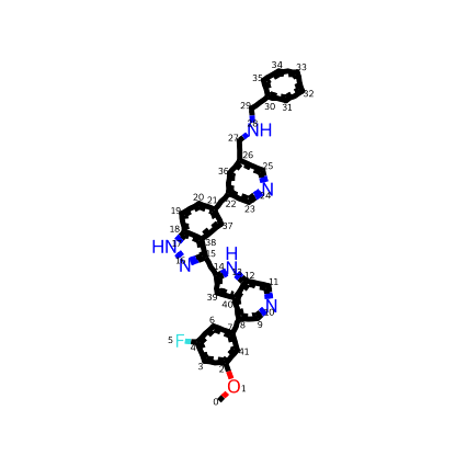 COc1cc(F)cc(-c2cncc3[nH]c(-c4n[nH]c5ccc(-c6cncc(CNCc7ccccc7)c6)cc45)cc23)c1